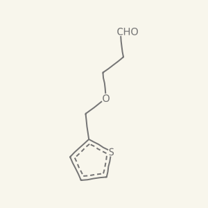 O=CCCOCc1cccs1